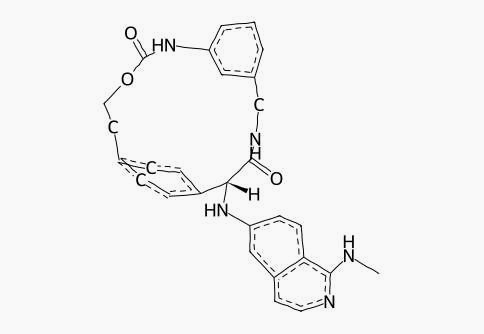 CNc1nccc2cc(N[C@H]3C(=O)NCc4cccc(c4)NC(=O)OCCc4ccc3cc4)ccc12